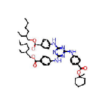 CCCCC(CC)COC(=O)c1ccc(Nc2nc(Nc3ccc(C(=O)OCC(CC)CCCC)cc3)nc(Nc3ccc(C(=O)OC4(C)CCCCC4)cc3)n2)cc1